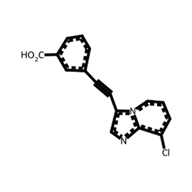 O=C(O)c1cccc(C#Cc2cnc3c(Cl)cccn23)c1